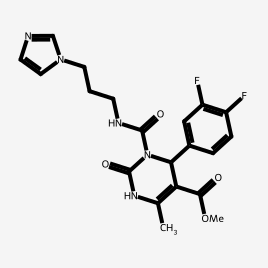 COC(=O)C1=C(C)NC(=O)N(C(=O)NCCCn2ccnc2)C1c1ccc(F)c(F)c1